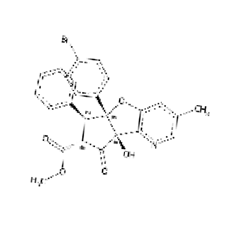 COC(=O)[C@H]1C(=O)[C@@]2(O)c3ncc(C)cc3O[C@@]2(c2ccc(Br)cc2)[C@@H]1c1ccccc1